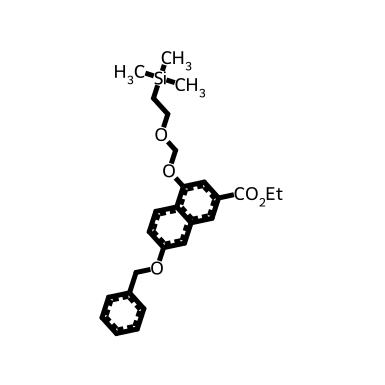 CCOC(=O)c1cc(OCOCC[Si](C)(C)C)c2ccc(OCc3ccccc3)cc2c1